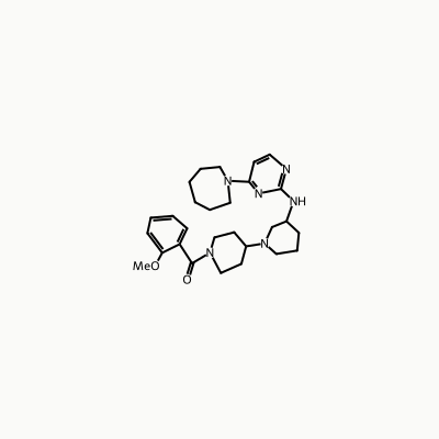 COc1ccccc1C(=O)N1CCC(N2CCCC(Nc3nccc(N4CCCCCC4)n3)C2)CC1